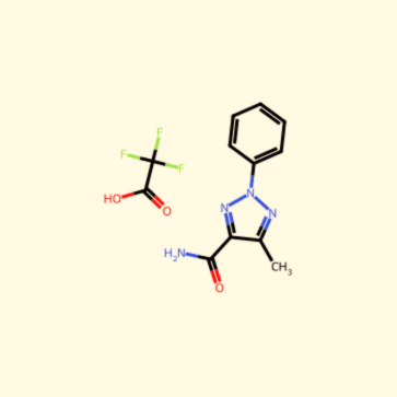 Cc1nn(-c2ccccc2)nc1C(N)=O.O=C(O)C(F)(F)F